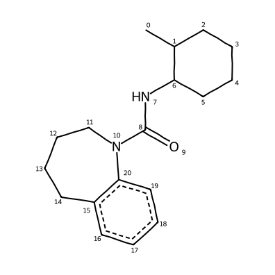 CC1CCCCC1NC(=O)N1CCCCc2ccccc21